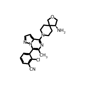 Cc1nc(N2CCC3(CC2)COC[C@H]3N)c2ccnn2c1-c1cccc(C#N)c1Cl